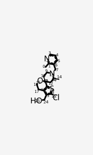 Cc1ncccc1CN1CC[C@]2(C[C@@H]1C)OCCc1c2sc(Cl)c1CO